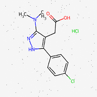 CN(C)c1n[nH]c(-c2ccc(Cl)cc2)c1CC(=O)O.Cl